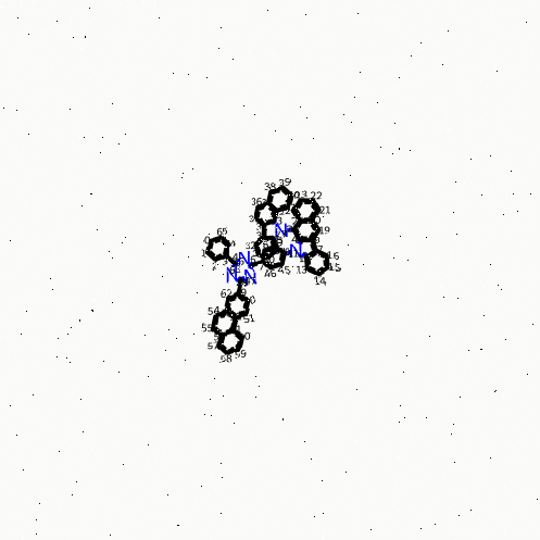 c1ccc(-c2nc(-c3ccc(-n4c5ccccc5c5cc6ccccc6c(-n6c7ccccc7c7ccc8ccccc8c76)c54)cc3)nc(-c3ccc4c(ccc5ccccc54)c3)n2)cc1